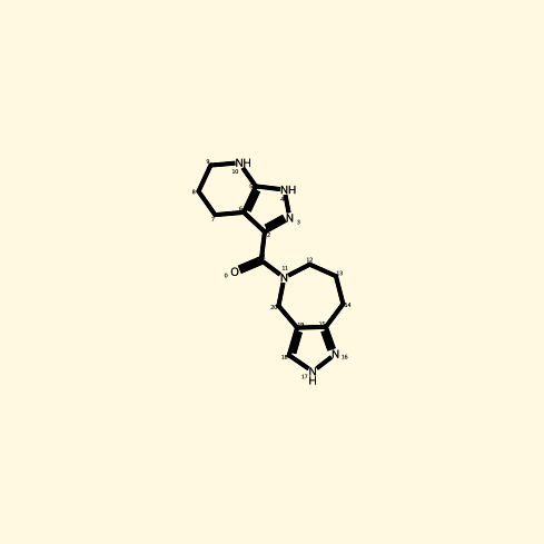 O=C(c1n[nH]c2c1CCCN2)N1CCCc2n[nH]cc2C1